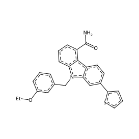 CCOc1cccc(Cn2c3cc(-c4cccs4)c[c]c3c3c(C(N)=O)cccc32)c1